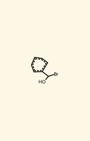 OC(Br)c1ccccc1